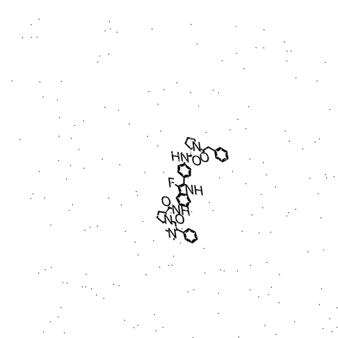 CN(C)[C@@H](C(=O)N1CCC[C@H]1C(=O)Nc1ccc2[nH]c(-c3ccc(NC(=O)[C@@H]4CCCN4C(=O)Cc4ccccc4)cc3)c(F)c2c1)c1ccccc1